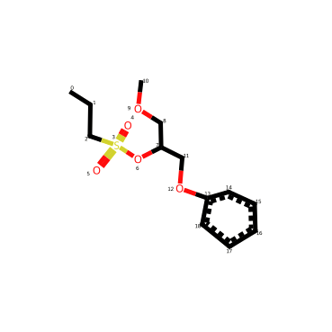 CCCS(=O)(=O)OC(COC)COc1ccccc1